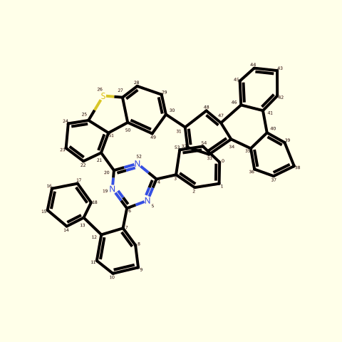 c1ccc(-c2nc(-c3ccccc3-c3ccccc3)nc(-c3cccc4sc5ccc(-c6ccc7c8ccccc8c8ccccc8c7c6)cc5c34)n2)cc1